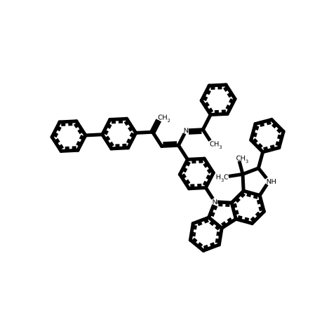 C=C(/C=C(\N=C(/C)c1ccccc1)c1ccc(-n2c3ccccc3c3ccc4c(c32)C(C)(C)C(c2ccccc2)N4)cc1)c1ccc(-c2ccccc2)cc1